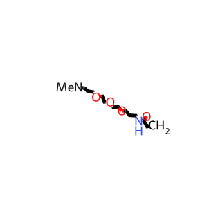 C=CC(=O)NCCCOCCOCCOCCCNC